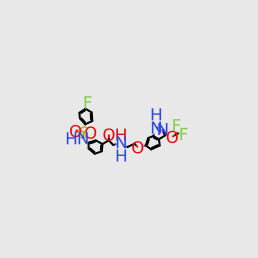 O=S(=O)(Nc1cccc(C(O)CNCCOc2ccc3c(OC(F)F)n[nH]c3c2)c1)c1ccc(F)cc1